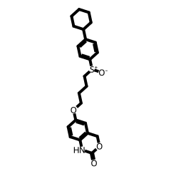 O=C1Nc2ccc(OCCCC[S+]([O-])c3ccc(C4CCCCC4)cc3)cc2CO1